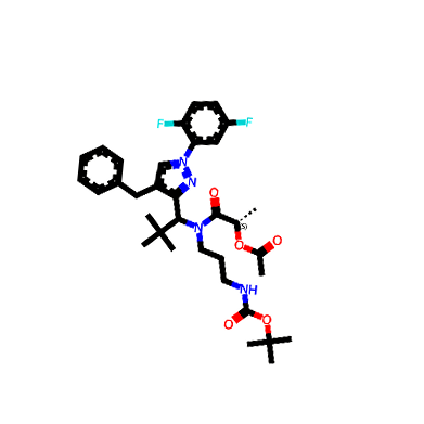 CC(=O)O[C@@H](C)C(=O)N(CCCNC(=O)OC(C)(C)C)C(c1nn(-c2cc(F)ccc2F)cc1Cc1ccccc1)C(C)(C)C